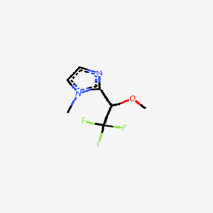 COC(c1nccn1C)C(F)(F)F